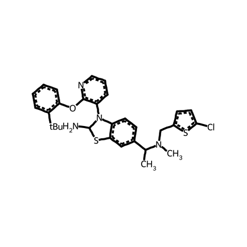 CC(c1ccc2c(c1)SC(N)N2c1cccnc1Oc1ccccc1C(C)(C)C)N(C)Cc1ccc(Cl)s1